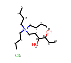 CCCC[N+](CCCC)(CCCC)CCC(O)C(O)CC.[Cl-]